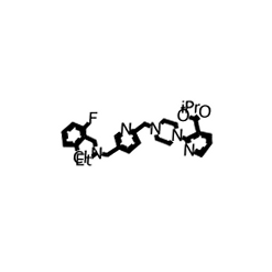 CCN(Cc1ccc(CN2CCN(c3ncccc3C(=O)OC(C)C)CC2)nc1)Cc1c(F)cccc1Cl